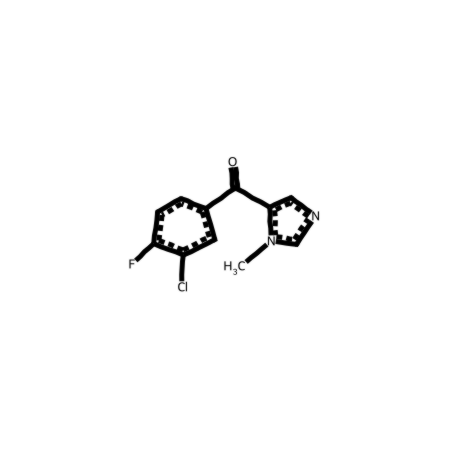 Cn1cncc1C(=O)c1ccc(F)c(Cl)c1